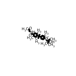 CCC(CC)(c1ccc(OCC(O)(C(C)C)C(C)C)c(C)c1)c1ccc(C(=O)NCC(C)=O)c(C)c1